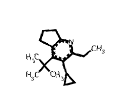 CCc1nc2c(c(C(C)(C)C)c1C1CC1)CCC2